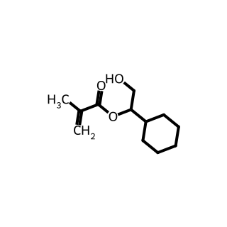 C=C(C)C(=O)OC(CO)C1CCCCC1